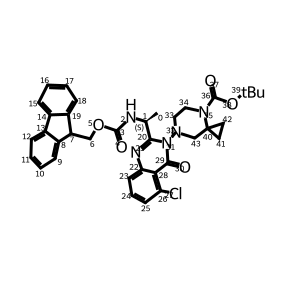 C[C@H](NC(=O)OCC1c2ccccc2-c2ccccc21)c1nc2cccc(Cl)c2c(=O)n1N1CCN(C(=O)OC(C)(C)C)C2(CC2)C1